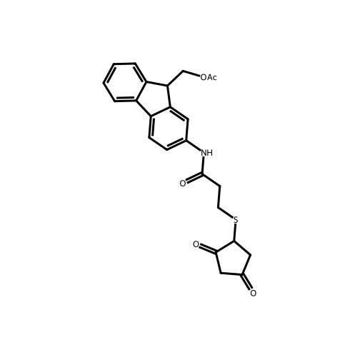 CC(=O)OCC1c2ccccc2-c2ccc(NC(=O)CCSC3CC(=O)CC3=O)cc21